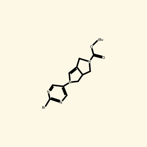 CC(C)(C)OC(=O)N1CC2=CN(c3cnc(Br)nc3)CC2C1